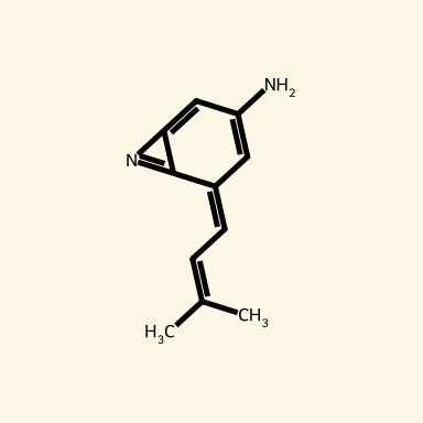 CC(C)=C/C=c1/cc(N)cc2c1=N2